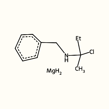 CCC(C)(Cl)NCc1ccccc1.[MgH2]